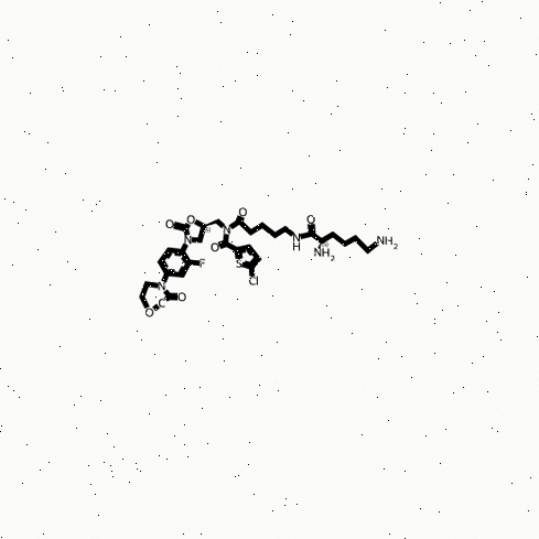 NCCCC[C@H](N)C(=O)NCCCCC(=O)N(C[C@H]1CN(c2ccc(N3CCOCC3=O)cc2F)C(=O)O1)C(=O)c1ccc(Cl)s1